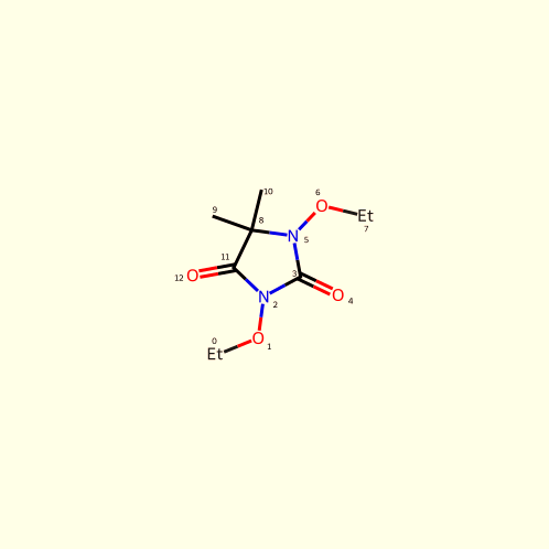 CCON1C(=O)N(OCC)C(C)(C)C1=O